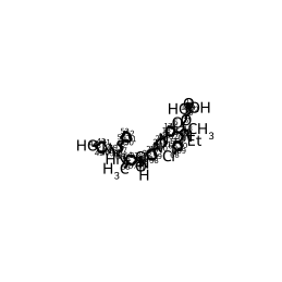 CCn1c(C)c(C(=O)OCCP(=O)(O)O)c(-c2cccc(N3CCN(c4ccc(NS(=O)(=O)c5ccc(N[C@H](CCN6CCC(O)CC6)CSc6ccccc6)c(C)c5)cc4)CC3)c2)c1-c1ccc(Cl)cc1